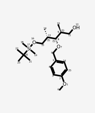 COc1ccc(CO[C@@H]([C@@H](C)CO)[C@@H](C)CO[Si](C)(C)C(C)(C)C)cc1